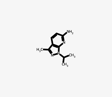 Cc1nn(C(C)C)c2nc(N)ccc12